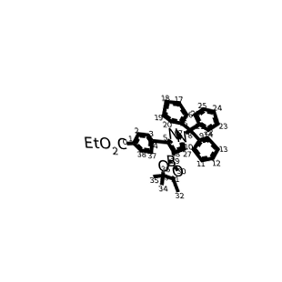 CCOC(=O)c1ccc(-c2nn(C(c3ccccc3)(c3ccccc3)c3ccccc3)cc2B2OC(C)C(C)(C)O2)cc1